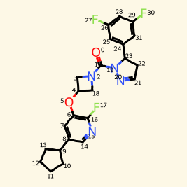 O=C(N1CC(Oc2cc(C3CCCC3)cnc2F)C1)N1N=CCC1c1cc(F)cc(F)c1